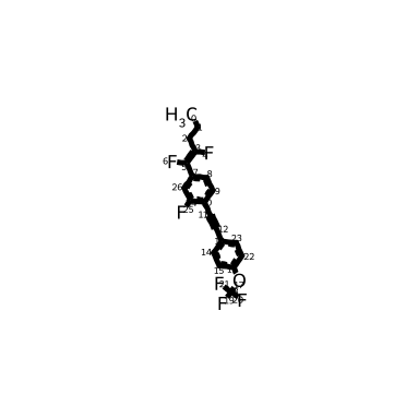 CCCC(F)=C(F)c1ccc(C#Cc2ccc(OC(F)(F)F)cc2)c(F)c1